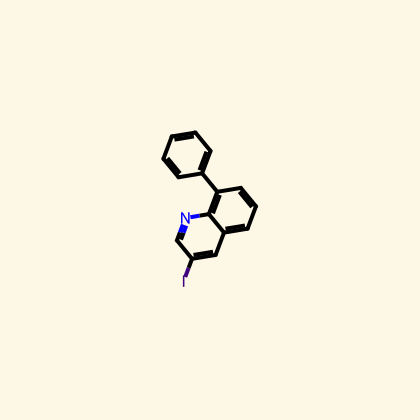 Ic1cnc2c(-c3ccccc3)cccc2c1